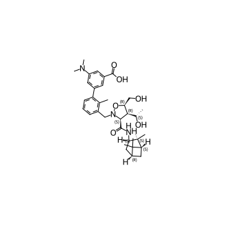 Cc1c(CN2O[C@@H](CO)[C@@H]([C@H](C)O)[C@H]2C(=O)N[C@H]2C[C@H]3C[C@@H]([C@@H]2C)C3(C)C)cccc1-c1cc(C(=O)O)cc(N(C)C)c1